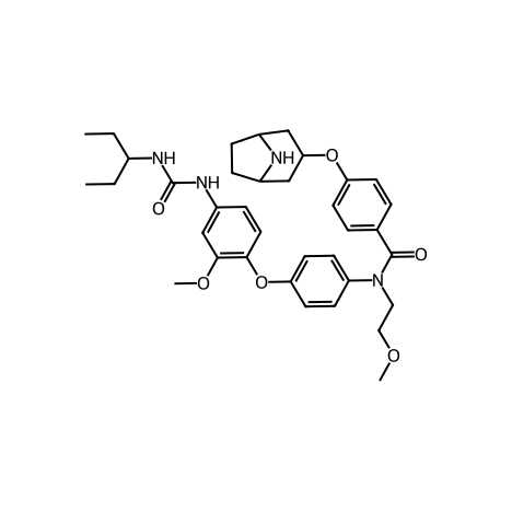 CCC(CC)NC(=O)Nc1ccc(Oc2ccc(N(CCOC)C(=O)c3ccc(OC4CC5CCC(C4)N5)cc3)cc2)c(OC)c1